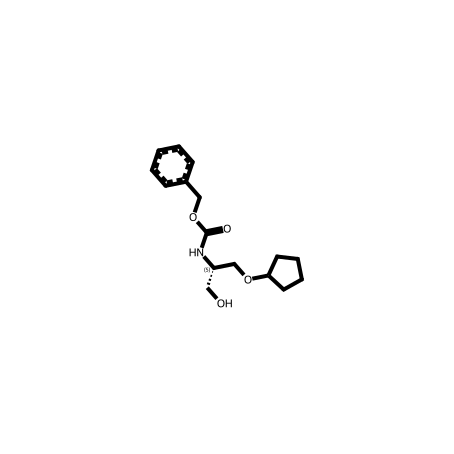 O=C(N[C@@H](CO)COC1CCCC1)OCc1ccccc1